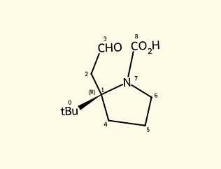 CC(C)(C)[C@]1(CC=O)CCCN1C(=O)O